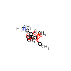 COC(=O)c1c(OC)c(-c2ccc(N(C)C)cc2)cc(OC)c1-c1ccc(OCc2ccc(C)cc2)c(OS(C)(=O)=O)c1